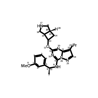 COc1cccc([C@H](C)Nc2nc(OC3C[C@H]4CNCC34)nc3c(C(C)C)cnn23)c1